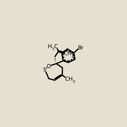 C=C(C)C[C@]1(c2ccc(Br)cc2)CC(C)=CCSO1